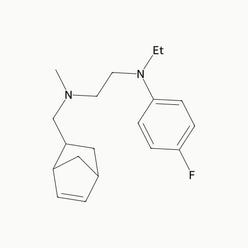 CCN(CCN(C)CC1CC2C=CC1C2)c1ccc(F)cc1